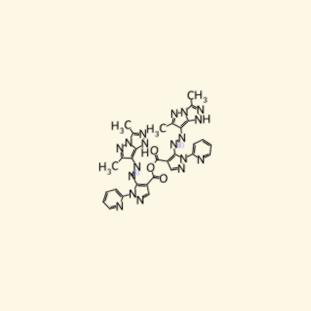 Cc1nn2c(C)n[nH]c2c1/N=N/c1c(C(=O)OC(=O)c2cnn(-c3ccccn3)c2/N=N/c2c(C)nn3c(C)n[nH]c23)cnn1-c1ccccn1